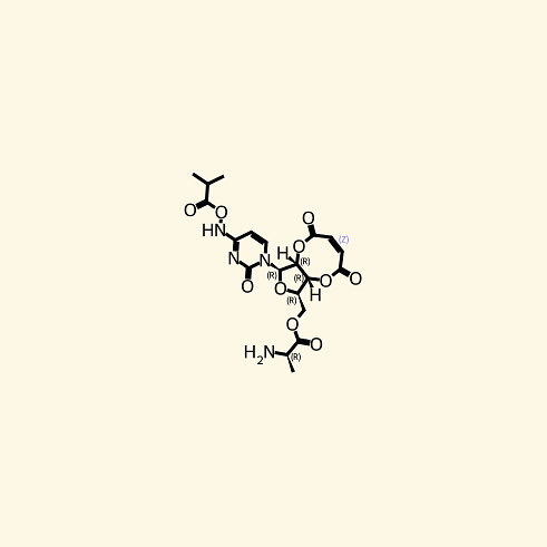 CC(C)C(=O)ONc1ccn([C@@H]2O[C@H](COC(=O)[C@@H](C)N)[C@H]3OC(=O)/C=C\C(=O)O[C@H]32)c(=O)n1